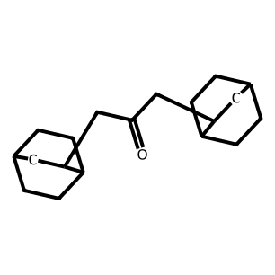 O=C(CC1CC2CCC1CC2)CC1CC2CCC1CC2